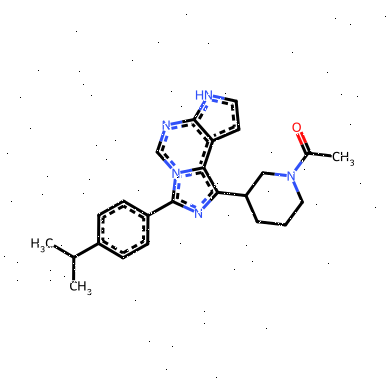 CC(=O)N1CCCC(c2nc(-c3ccc(C(C)C)cc3)n3cnc4[nH]ccc4c23)C1